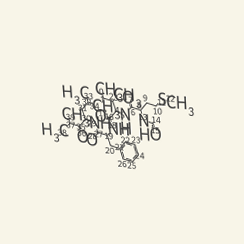 CCC(C)C(NC(=O)C(CCSC)NC=O)C(=O)NC(Cc1ccccc1)C(=O)NC(CC(C)C)C(=O)C(C)C